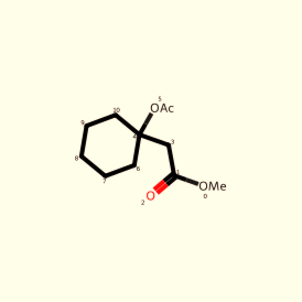 COC(=O)CC1(OC(C)=O)CCCCC1